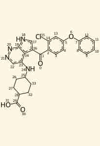 O=C(c1ccc(Oc2ccccc2)cc1Cl)c1c[nH]c2nncc(NC3CCC(C(=O)O)CC3)c12